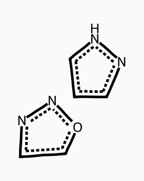 c1cn[nH]c1.c1conn1